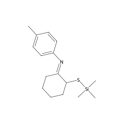 Cc1ccc(N=C2CCCCC2S[Si](C)(C)C)cc1